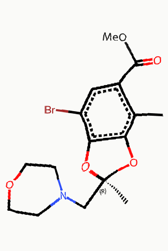 COC(=O)c1cc(Br)c2c(c1C)O[C@@](C)(CN1CCOCC1)O2